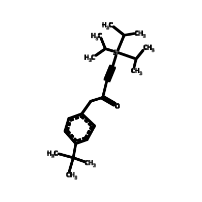 CC(C)[Si](C#CC(=O)Cc1ccc(C(C)(C)C)cc1)(C(C)C)C(C)C